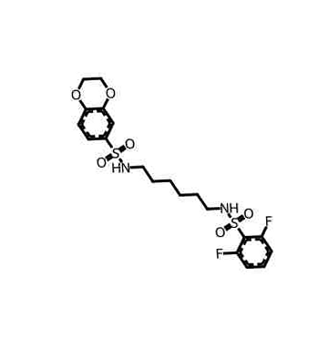 O=S(=O)(NCCCCCCNS(=O)(=O)c1c(F)cccc1F)c1ccc2c(c1)OCCO2